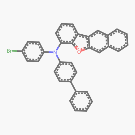 Brc1ccc(N(c2ccc(-c3ccccc3)cc2)c2cccc3c2oc2cc4ccccc4cc23)cc1